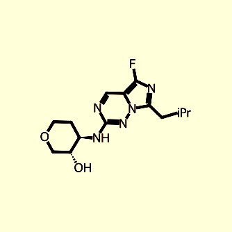 CC(C)Cc1nc(F)c2cnc(N[C@@H]3CCOC[C@H]3O)nn12